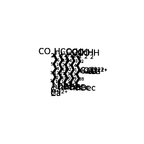 CCCCCCCCCCCCCCCCCC(=O)O.CCCCCCCCCCCCCCCCCC(=O)O.CCCCCCCCCCCCCCCCCC(=O)O.CCCCCCCCCCCCCCCCCC(=O)O.CCCCCCCCCCCCCCCCCC(=O)O.[Ca+2].[Ca+2].[Ca+2].[Ca+2].[Ca+2].[Ca+2]